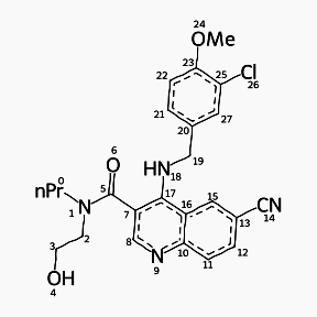 CCCN(CCO)C(=O)c1cnc2ccc(C#N)cc2c1NCc1ccc(OC)c(Cl)c1